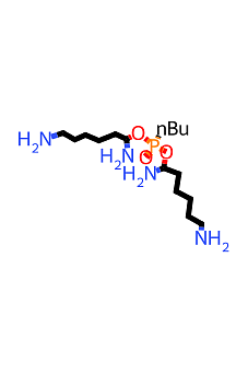 CCCCP(=O)(OC(N)CCCCCN)OC(N)CCCCCN